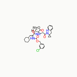 COC(=O)C(C)(CCC(=O)NC1(Cc2ccccc2)CC1)NC(=O)[C@H](CC1CCCCC1)NC(=O)OCc1cccc(Cl)c1